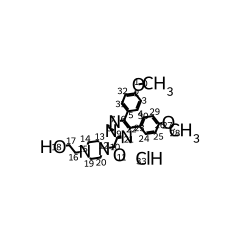 COc1ccc(-c2nnc(C(=O)N3CCN(CCO)CC3)nc2-c2ccc(OC)cc2)cc1.Cl